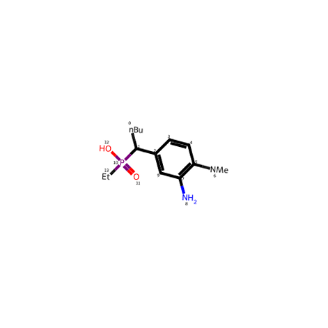 CCCCC(c1ccc(NC)c(N)c1)P(=O)(O)CC